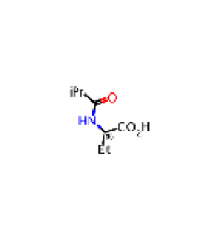 CC[C@@H](NC(=O)C(C)C)C(=O)O